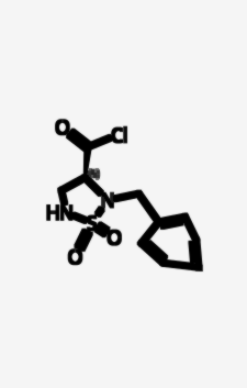 O=C(Cl)[C@@H]1CNS(=O)(=O)N1Cc1ccccc1